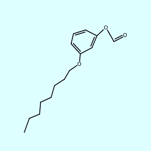 CCCCCCCCOc1cccc(OC=O)c1